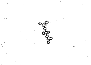 c1ccc(-c2nc(-c3ccccc3)nc(-c3ccc(-c4c5ccccc5c(-c5ccc(-c6nc7ccccc7n6-c6ccccc6)cn5)c5ccccc45)cc3)n2)cc1